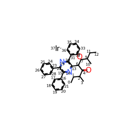 CCC(C)C(=O)C(C(=O)C(C)CC)c1nc(-c2ccccc2)c(-c2ccccc2)nc1-c1ccccc1.[Ir]